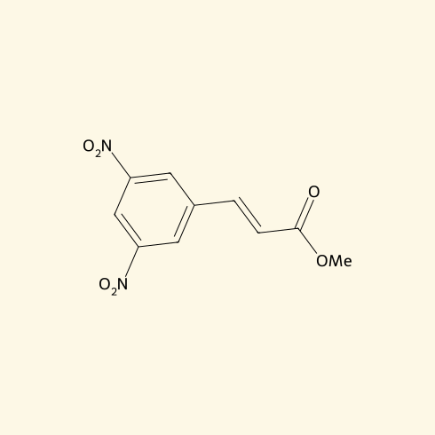 COC(=O)C=Cc1cc([N+](=O)[O-])cc([N+](=O)[O-])c1